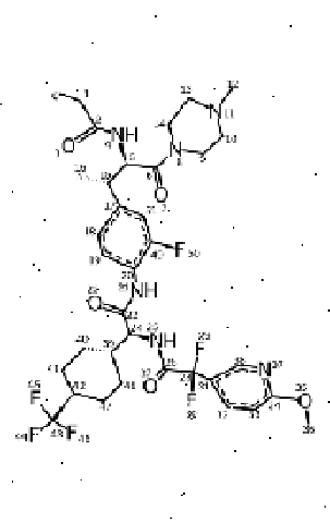 CCC(=O)N[C@@H](C(=O)N1CCN(C)CC1)[C@@H](C)c1ccc(NC(=O)[C@@H](NC(=O)C(F)(F)c2ccc(OC)nc2)[C@H]2CC[C@H](C(F)(F)F)CC2)c(F)c1